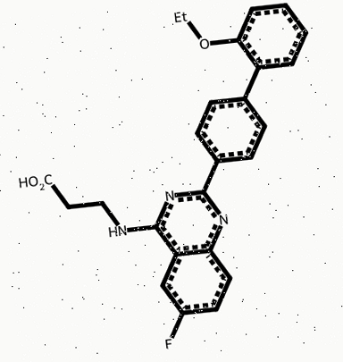 CCOc1ccccc1-c1ccc(-c2nc(NCCC(=O)O)c3cc(F)ccc3n2)cc1